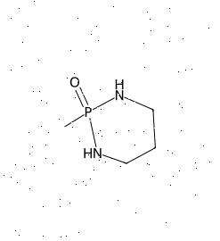 CP1(=O)NCCCN1